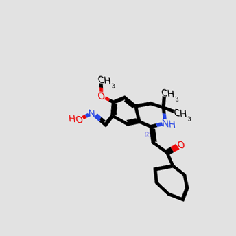 COc1cc2c(cc1C=NO)/C(=C/C(=O)C1CCCCCC1)NC(C)(C)C2